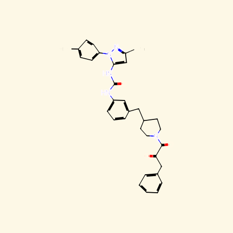 Cc1ccc(-n2nc(C(C)(C)C)cc2NC(=O)Nc2cccc(CC3CCN(C(=O)C(=O)Cc4ccccc4)CC3)c2)cc1